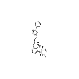 CN(C)c1cccc(CC=CCn2cnc(-c3ccccc3)c2)c1[N+](=O)[O-]